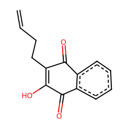 C=CCCC1=C(O)C(=O)c2ccccc2C1=O